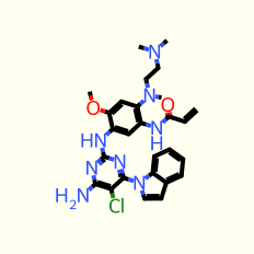 C=CC(=O)Nc1cc(Nc2nc(N)c(Cl)c(-n3ccc4ccccc43)n2)c(OC)cc1N(C)CCN(C)C